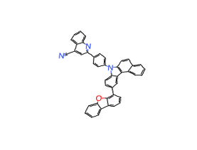 N#Cc1cc(-c2ccc(-n3c4ccc(-c5cccc6c5oc5ccccc56)cc4c4c5ccccc5ccc43)cc2)nc2ccccc12